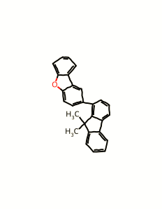 CC1(C)c2ccccc2-c2cccc(-c3ccc4oc5ccccc5c4c3)c21